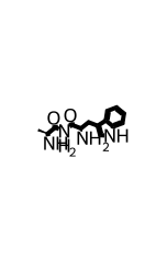 C[C@H](N)C(=O)NC(=O)[C@@H](N)Cc1c[nH]c2ccccc12